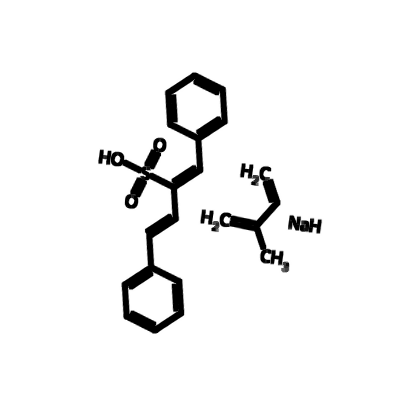 C=CC(=C)C.O=S(=O)(O)C(C=Cc1ccccc1)=Cc1ccccc1.[NaH]